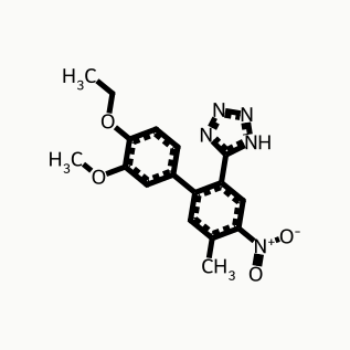 CCOc1ccc(-c2cc(C)c([N+](=O)[O-])cc2-c2nnn[nH]2)cc1OC